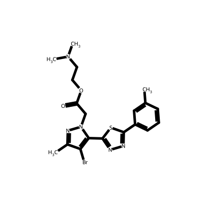 Cc1cccc(-c2nnc(-c3c(Br)c(C)nn3CC(=O)OCCN(C)C)s2)c1